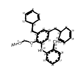 COCOc1c(CC2C=CC=CC2)cc(CC2C=CC=CC2)cc1Pc1ccccc1C=O